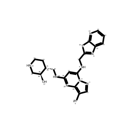 CC(C)c1cnn2c(NCc3nc4cccnc4s3)cc(NC[C@H]3CCNC[C@@H]3O)nc12